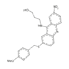 COc1ccc(CSc2ccc3nc4ccc([N+](=O)[O-])cc4c(NCCCO)c3c2)cc1